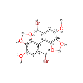 COc1cc(CBr)c(-c2c(CBr)cc(OC)c3c2OCO3)c2c1OCO2